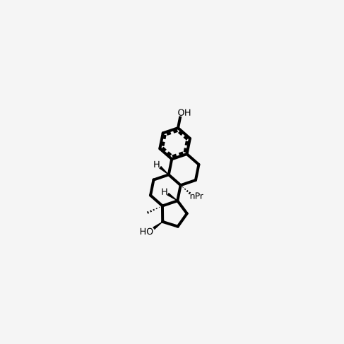 CCC[C@@]12CCc3cc(O)ccc3[C@H]1CC[C@]1(C)[C@H](O)CC[C@H]12